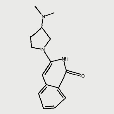 CN(C)C1CCN(c2cc3ccccc3c(=O)[nH]2)C1